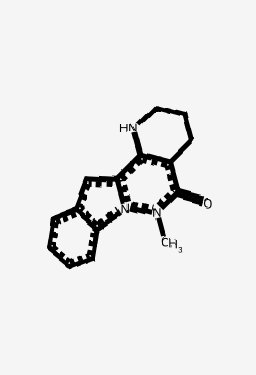 Cn1c(=O)c2c(c3cc4ccccc4n31)NCCC2